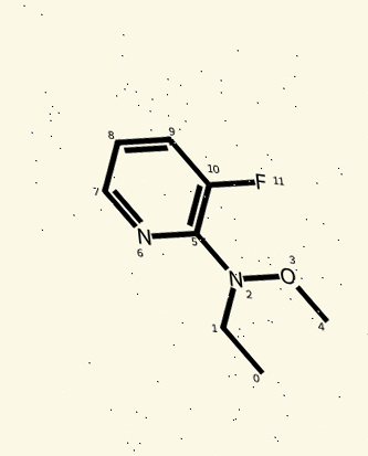 CCN(OC)c1ncc[c]c1F